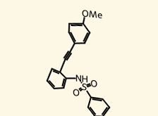 COc1ccc(C#Cc2ccccc2NS(=O)(=O)c2ccc(C)cc2)cc1